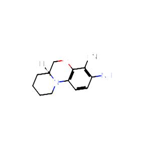 N#Cc1c(N)ccc2c1OC[C@H]1CCCCN21